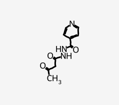 CC(=O)CC(=O)NNC(=O)c1ccncc1